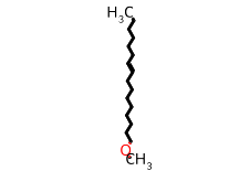 CCCCCCC=CCCCCCCCCOC